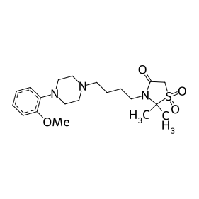 COc1ccccc1N1CCN(CCCCN2C(=O)CS(=O)(=O)C2(C)C)CC1